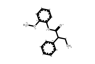 CCC(C(=O)Oc1ccccc1OC)c1ccccc1